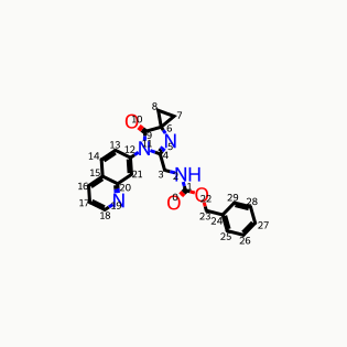 O=C(NCC1=NC2(CC2)C(=O)N1c1ccc2cccnc2c1)OCc1ccccc1